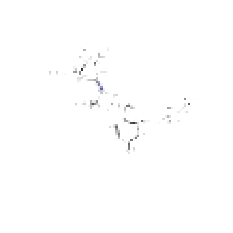 CC1=N/C(=C2\CN(C(=O)c3ccc(F)cc3OCC3CC(N)C3)CC2=N)NC(C)=C1Cl